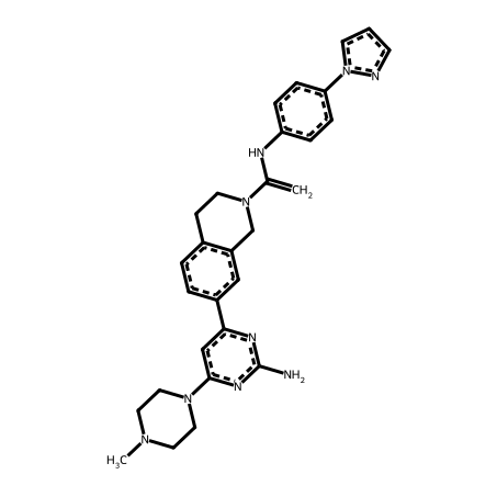 C=C(Nc1ccc(-n2cccn2)cc1)N1CCc2ccc(-c3cc(N4CCN(C)CC4)nc(N)n3)cc2C1